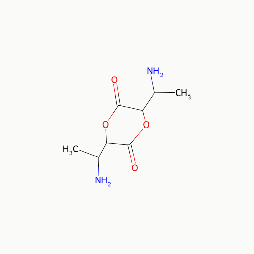 CC(N)C1OC(=O)C(C(C)N)OC1=O